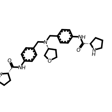 O=C(Nc1ccc(CN(Cc2ccc(NC(=O)[C@@H]3CCCN3)cc2)[C@@H]2CCOC2)cc1)[C@@H]1CCCN1